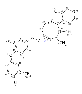 C=C1/N=C(/CCc2cc(F)c(Oc3ccc(Cl)c(C(F)(F)F)c3)c(F)c2)C/C=C\C(N2CCOCC2C)N1C